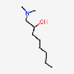 CCCCCCC(O)CN(C)C